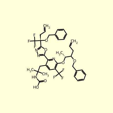 C=CCC(OCc1ccccc1)[C@@H](C)Oc1nc(-c2nnc([C@@](CC=C)(OCc3ccccc3)C(F)(F)F)o2)c(CC(C)(C)NC(=O)O)cc1C(F)(F)F